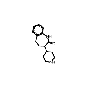 O=C1Nc2ccccc2CCC1C1CCNCC1